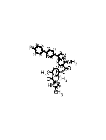 CC(=O)c1c([C@@H]2CC(C)N(C(=O)c3nnc(C)[nH]3)[C@@H](C)C2)nc2c(-c3ccc(-c4ccc(F)cc4)nc3)cnn2c1N